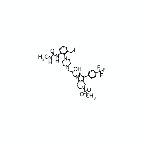 CNC(=O)Nc1cccc(CI)c1N1CCN(CC(O)Cn2nc(-c3ccc(C(F)(F)F)cc3)c3c2CCN(S(C)(=O)=O)C3)CC1